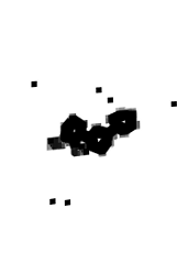 N#Cc1cccc(-c2cccc(-c3ccccc3)c2)c1C#N